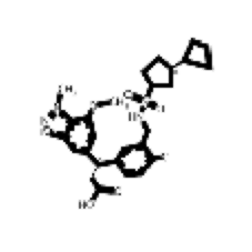 COc1cc([C@@H](CC(=O)O)c2ccc(Cl)c(CNS(=O)(=O)C3CC[C@@H](C4CCC4)C3)c2)cc2nnn(C)c12